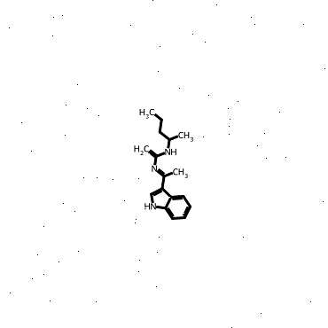 C=C(/N=C(\C)c1c[nH]c2ccccc12)NC(C)CCC